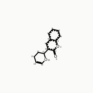 O=c1oc2ccccc2cc1C1CCC=CO1